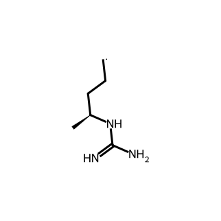 [CH2]CC[C@H](C)NC(=N)N